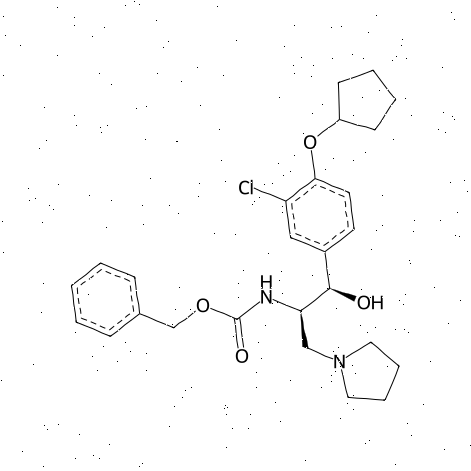 O=C(N[C@H](CN1CCCC1)[C@H](O)c1ccc(OC2CCCC2)c(Cl)c1)OCc1ccccc1